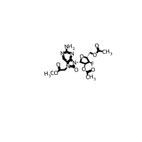 COC(=O)Cn1c(=O)n([C@@H]2O[C@H](COC(C)=O)[C@@H](F)[C@H]2OC(C)=O)c2nc(N)ncc21